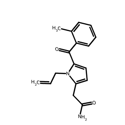 C=CCn1c(CC(N)=O)ccc1C(=O)c1ccccc1C